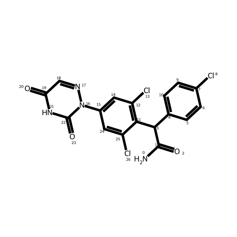 NC(=O)C(c1ccc(Cl)cc1)c1c(Cl)cc(-n2ncc(=O)[nH]c2=O)cc1Cl